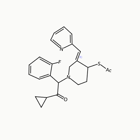 CC(=O)SC1CCN(C(C(=O)C2CC2)c2ccccc2F)C/C1=C\c1ccccn1